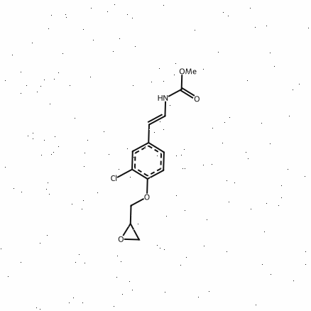 COC(=O)NC=Cc1ccc(OCC2CO2)c(Cl)c1